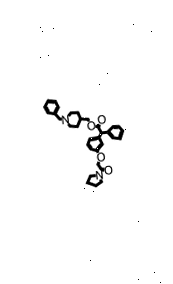 O=C(OCC1CCN(Cc2ccccc2)CC1)C(c1ccccc1)c1cccc(OCC(=O)N2CCCC2)c1